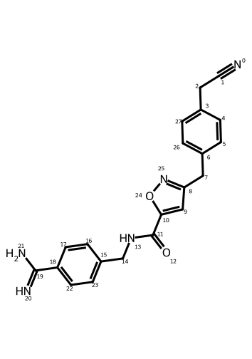 N#CCc1ccc(Cc2cc(C(=O)NCc3ccc(C(=N)N)cc3)on2)cc1